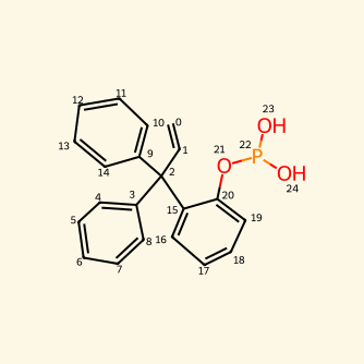 C=CC(c1ccccc1)(c1ccccc1)c1ccccc1OP(O)O